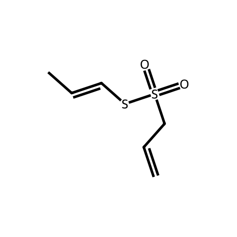 C=CCS(=O)(=O)SC=CC